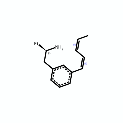 C/C=C\C=C/c1cccc(C[C@H](N)CC)c1